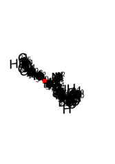 COc1cc(N2CCN(CCC3CCN(c4ccc5c(c4)CN(C4CCC(=O)NC4=O)C5=O)CC3)CC2)c(-c2cnn(C)c2)cc1Nc1ncc(Br)c(Nc2ccc3nccnc3c2P(=O)(OC)OC)n1